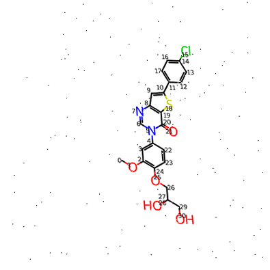 COc1cc(-n2cnc3cc(-c4ccc(Cl)cc4)sc3c2=O)ccc1OCC(O)CO